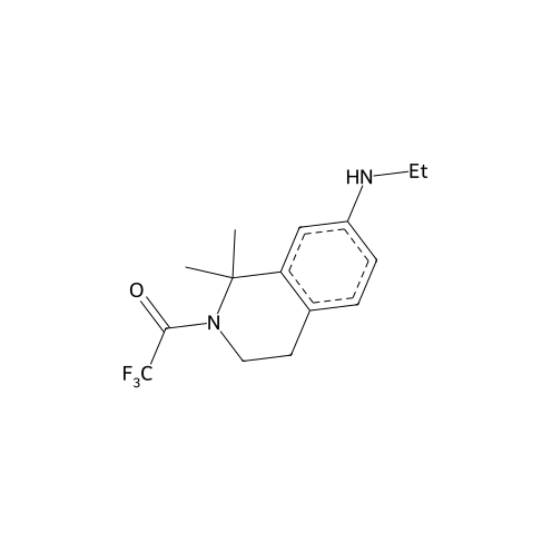 CCNc1ccc2c(c1)C(C)(C)N(C(=O)C(F)(F)F)CC2